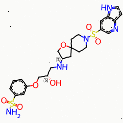 NS(=O)(=O)c1cccc(OC[C@@H](O)CN[C@H]2COC3(CCN(S(=O)(=O)c4cnc5cc[nH]c5c4)CC3)C2)c1